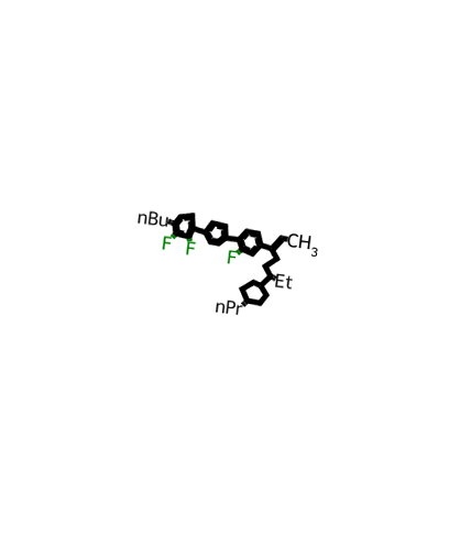 C/C=C(\CCC(CC)C1CCC(CCC)CC1)c1ccc(-c2ccc(-c3ccc(CCCC)c(F)c3F)cc2)c(F)c1